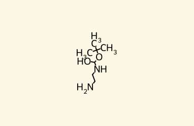 CC(C)(C)OC(O)NCCN